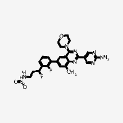 Cc1cc(-c2cccc(C(F)CCN[SH](=O)=O)c2F)cc2c(N3CCOCC3)nc(-c3cnc(N)nc3)nc12